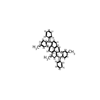 Cc1ccc(N(C2=c3ccc4ccc(N(c5ccccc5)c5ccc(C)cn5)c5ccc(c3c45)C(C)C2)c2ccccc2)nc1